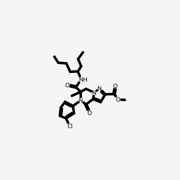 CCCCC(CCC)NC(=O)C1(C)Cn2nc(C(=O)OC)cc2C(=O)N1c1cccc(Cl)c1